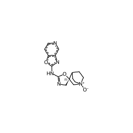 [O-][N+]12CCC(CC1)[C@]1(CN=C(Nc3nc4cnccc4o3)O1)C2